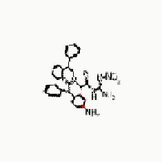 NCCC[C@@H](C(=O)NC(N)=N[N+](=O)[O-])N(CC(c1ccccc1)c1ccccc1)C(=O)C(c1ccccc1)c1ccccc1